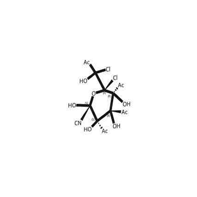 [C-]#[N+][C@@]1(O)O[C@](Cl)(C(O)(Cl)C(C)=O)[C@](O)(C(C)=O)[C@@](O)(C(C)=O)[C@]1(O)C(C)=O